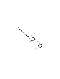 CCC1CC(OC(=O)Nc2cc(OC)ccc2OC)CC(CC)N1CCCCCCCCCCN